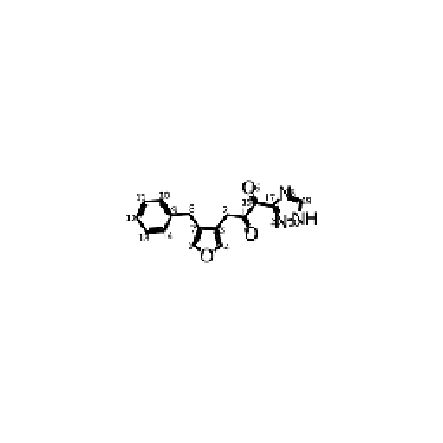 O=C(Cc1cocc1Cc1ccccc1)C(=O)c1nc[nH]n1